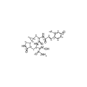 NC(=O)C(=NO)C(CC1CCNC1=O)NC(=O)C(CC1CC1)NC(=O)/C=C/c1ccc(Cl)cc1F